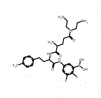 NCCN(CCN)C(=O)CCC(N)C(=O)NC(CCc1ccc(C(F)(F)F)cc1)C(=O)Nc1cc(F)c(F)c(B(O)O)c1